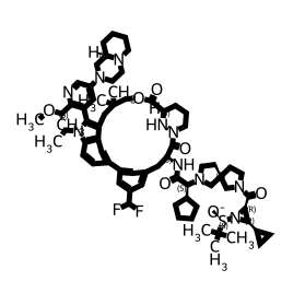 CCn1c(-c2cc(N3CCN4CCCC[C@@H]4C3)cnc2[C@H](C)OC)c2c3cc(ccc31)-c1cc(cc(C(F)F)c1)C[C@H](NC(=O)[C@H](C1CCCC1)N1CC[C@]3(CCN(C(=O)[C@H]4[C@@H](C5CC5)N4[S@+]([O-])C(C)(C)C)C3)C1)C(=O)N1CCC[C@H](N1)C(=O)OCC(C)(C)C2